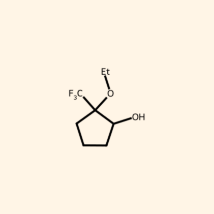 CCOC1(C(F)(F)F)CCCC1O